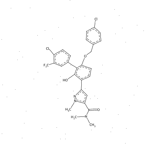 CN(C)C(=O)c1cc(-c2ccc(OCc3ccc(Cl)cc3)c(-c3ccc(Cl)c(C(F)(F)F)c3)c2O)nn1C